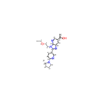 CCOCCn1c(-c2ccc(N3CCC[C@@H]3C)nc2)nc2cc(BO)cnc21